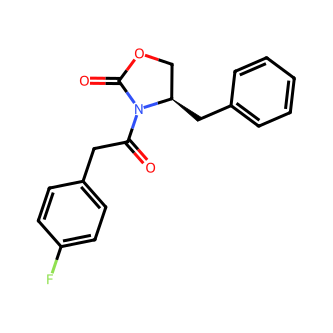 O=C(Cc1ccc(F)cc1)N1C(=O)OC[C@H]1Cc1ccccc1